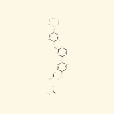 NC(=O)CC[C@@H](Nc1ccc(-c2ccnc(Nc3ccc(N4CCOCC4)cc3)n2)cc1)C(N)=O